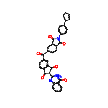 O=C(c1ccc2c(c1)C(=O)C(c1nc3ccccc3c(=O)[nH]1)C2=O)c1ccc2c(c1)C(=O)N(c1ccc(C3=CCC=C3)cc1)C2=O